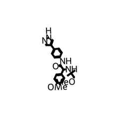 COCC(C)(C)NC(C(=O)Nc1ccc(-c2cn[nH]c2)cc1)c1cccc(OC)c1